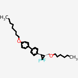 CCCCCCCCOc1ccc(-c2ccc([C@H]3[C@H](COCCCCCC)C3(F)F)cc2)cc1